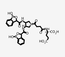 O=C(O)CC[C@H](NC(=O)CCC(=O)N1CC(NC(=O)C2OB(O)c3ccccc32)C(NC(=O)C2OB(O)c3ccccc32)C1)C(=O)O